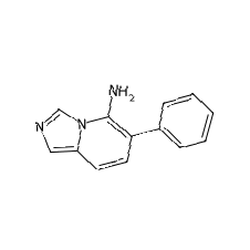 Nc1c(-c2ccccc2)ccc2cncn12